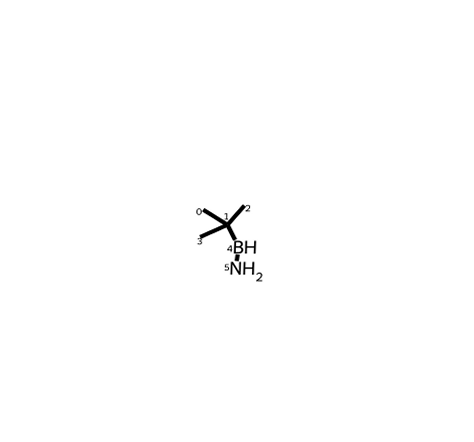 CC(C)(C)BN